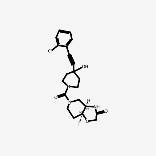 O=C1CO[C@H]2CCN(C(=O)N3CCC(O)(C#Cc4ccccc4Cl)CC3)C[C@H]2N1